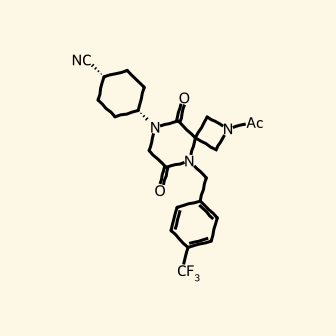 CC(=O)N1CC2(C1)C(=O)N([C@H]1CC[C@@H](C#N)CC1)CC(=O)N2Cc1ccc(C(F)(F)F)cc1